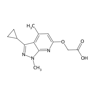 Cc1cc(OCC(=O)O)nc2c1c(C1CC1)nn2C